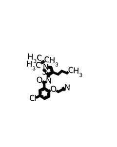 CCCCc1cn(C(C)(C)C)s/c1=N\C(=O)c1cc(Cl)ccc1OCC#N